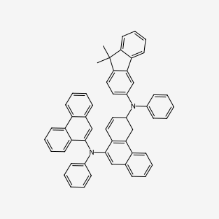 CC1(C)c2ccccc2-c2cc(N(c3ccccc3)C3C=Cc4c(N(c5ccccc5)c5cc6ccccc6c6ccccc56)cc5ccccc5c4C3)ccc21